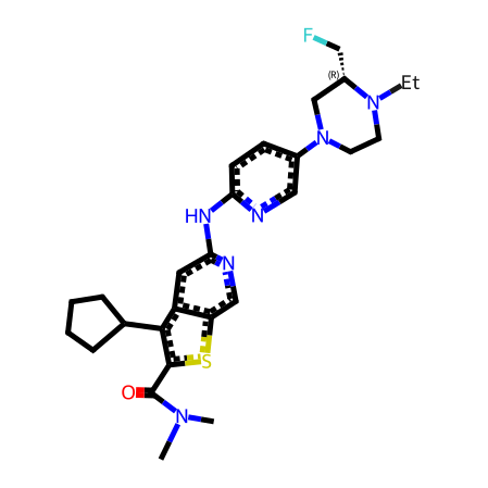 CCN1CCN(c2ccc(Nc3cc4c(C5CCCC5)c(C(=O)N(C)C)sc4cn3)nc2)C[C@@H]1CF